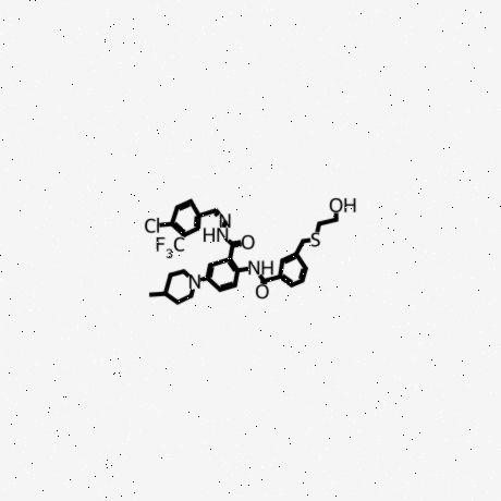 CC1CCN(c2ccc(NC(=O)c3cccc(CSCCO)c3)c(C(=O)N/N=C\c3ccc(Cl)c(C(F)(F)F)c3)c2)CC1